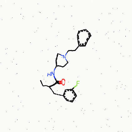 CCC(Cc1cccc(F)c1)C(=O)NC1CCN(CCc2ccccc2)CC1